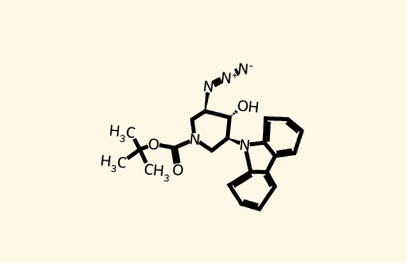 CC(C)(C)OC(=O)N1C[C@@H](N=[N+]=[N-])[C@H](O)[C@@H](n2c3ccccc3c3ccccc32)C1